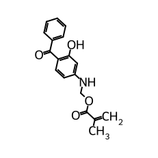 C=C(C)C(=O)OCNc1ccc(C(=O)c2ccccc2)c(O)c1